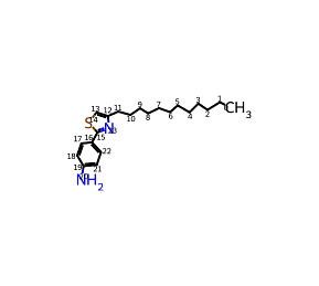 CCCCCCCCCCCCc1csc(-c2ccc(N)cc2)n1